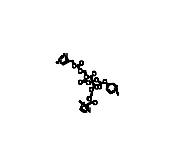 CN1CCC(OC(=O)OC(O[C]=O)(C(=O)OCOC(=O)OCc2cn(C)cn2)C(=O)OCOC(=O)c2nccn2C)CC1